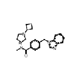 CN(C(=O)c1ccc(Cn2cnc3ccccc32)cc1)[C@@H]1CCN(C2CCC2)C1